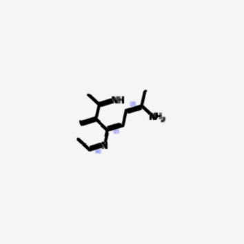 C=C(C(C)=N)C(=C\C=C(\C)N)/N=C\C